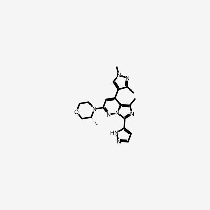 Cc1nn(C)cc1-c1cc(N2CCOC[C@H]2C)nn2c(-c3ccn[nH]3)nc(C)c12